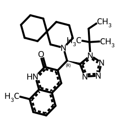 CCC(C)(C)n1nnnc1[C@@H](c1cc2cccc(C)c2[nH]c1=O)N1CCCC2(CCCCC2)C1